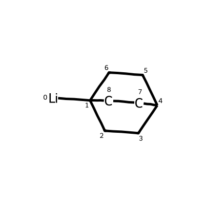 [Li][C]12CCC(CC1)CC2